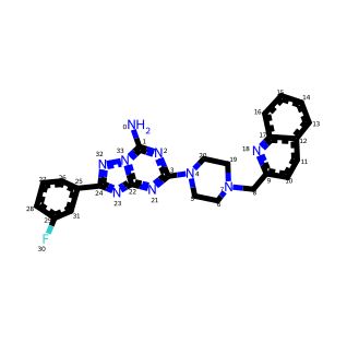 Nc1nc(N2CCN(Cc3ccc4ccccc4n3)CC2)nc2nc(-c3cccc(F)c3)nn12